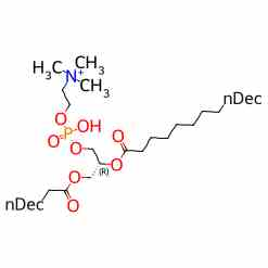 CCCCCCCCCCCCCCCCCC(=O)O[C@H](COC(=O)CCCCCCCCCCC)COP(=O)(O)OCC[N+](C)(C)C